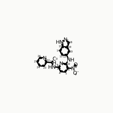 CC(Nc1ccc([N+](=O)[O-])c(Nc2ccc3[nH]ncc3c2)n1)c1ccccn1